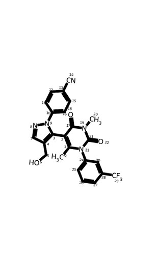 Cc1c(-c2c(CO)cnn2-c2ccc(C#N)cc2)c(=O)n(C)c(=O)n1-c1cccc(C(F)(F)F)c1